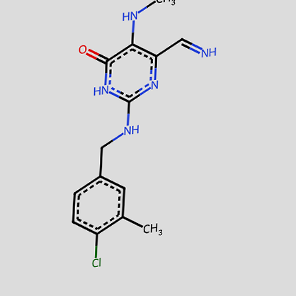 CNc1c(C=N)nc(NCc2ccc(Cl)c(C)c2)[nH]c1=O